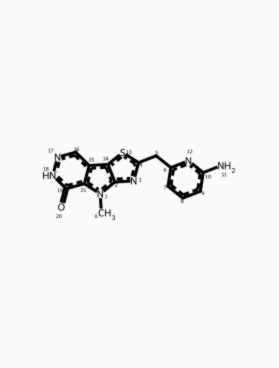 Cn1c2nc(Cc3cccc(N)n3)sc2c2cn[nH]c(=O)c21